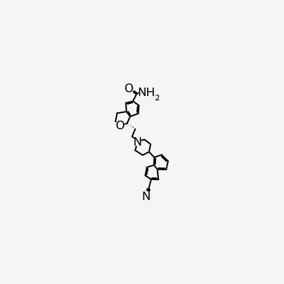 N#Cc1ccc2c(C3CCN(CC[C@@H]4OCCc5cc(C(N)=O)ccc54)CC3)cccc2c1